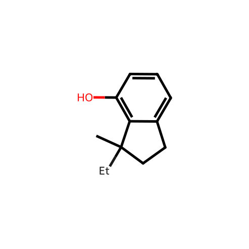 CCC1(C)CCc2cccc(O)c21